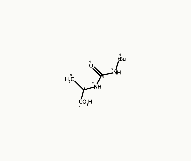 CC(NC(=O)NC(C)(C)C)C(=O)O